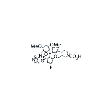 COc1ccc(CN(c2ncns2)S(=O)(=O)c2cc(F)cc(OCC3CN(C(=O)O)CC[C@@H]3c3ccccc3)c2F)c(OC)c1